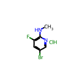 CNc1ncc(Br)cc1F.Cl